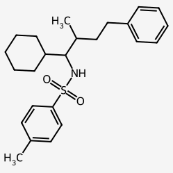 Cc1ccc(S(=O)(=O)NC(C(C)CCc2ccccc2)C2CCCCC2)cc1